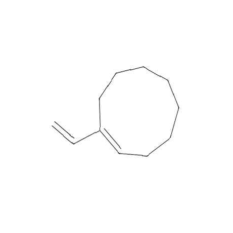 C=CC1=CCCCCCCC1